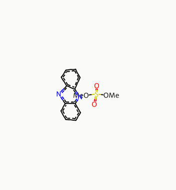 COS(=O)(=O)OC.c1ccc2nc3ccccc3nc2c1